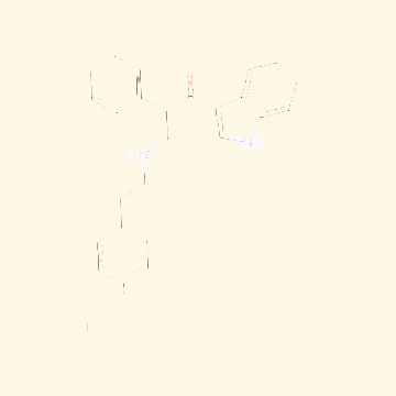 COc1ccc(CCNCC(C(=O)c2c[nH]c3c(Cl)cccc23)c2ccccc2)cc1